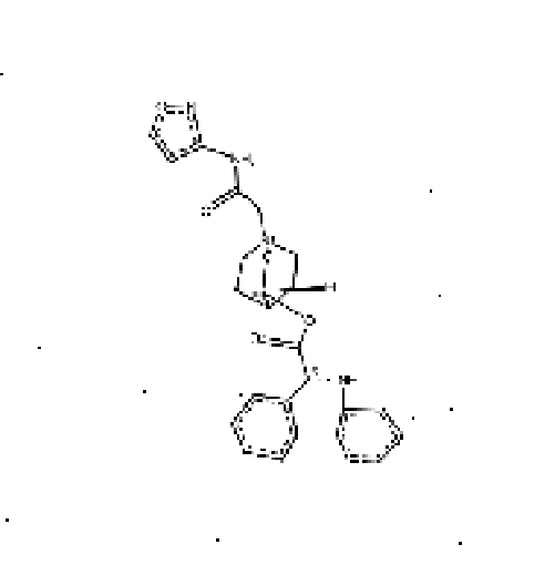 O=C(C[N+]12CCC(CC1)[C@@H](OC(=O)[C@H](Nc1ccccc1)c1ccccc1)C2)Nc1ccon1